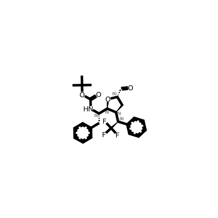 CC(C)(C)OC(=O)N[C@@H](Cc1ccccc1)[C@H]1O[C@H](C=O)C[C@H]1[C@@H](c1ccccc1)C(F)(F)F